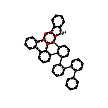 c1ccc(-c2ccccc2-c2ccccc2-c2cccc(-c3cccc4c3[nH]c3ccccc34)c2-c2cccc3c4ccccc4c4ccccc4c23)cc1